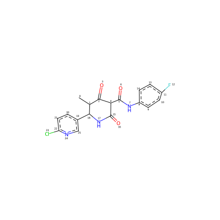 CC1C(=O)C(C(=O)Nc2ccc(F)cc2)C(=O)NC1c1ccc(Cl)nc1